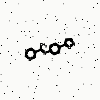 C/C(=N\c1ccc(-c2ccno2)cc1)c1cncnc1